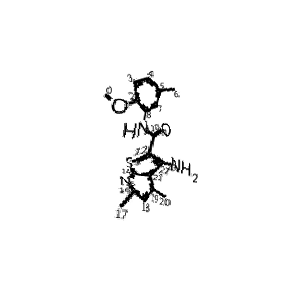 COc1ccc(C)cc1NC(=O)c1sc2nc(C)cc(C)c2c1N